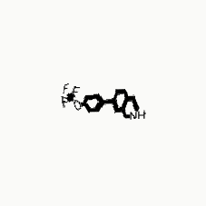 FC(F)(F)Oc1ccc(-c2ccc3c(c2)CNC=C3)cc1